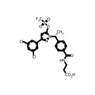 C[C@H](c1ccc(C(=O)NCCC(=O)O)cc1)n1nc(-c2cc(Cl)cc(Cl)c2)cc1OS(=O)(=O)C(F)(F)F